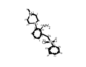 CN1CCN(c2cccc(CS(=O)(=O)c3ccccc3)c2N)CC1